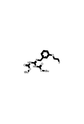 CC(C)(C)OC(=O)NC(=NCc1cccc(OCCF)c1)NC(=O)OC(C)(C)C